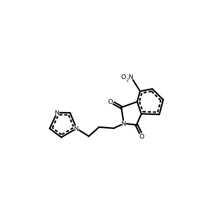 O=C1c2cccc([N+](=O)[O-])c2C(=O)N1CCCn1ccnc1